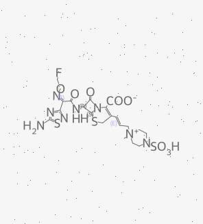 C[N+]1(C/C=C/C2=C(C(=O)[O-])N3C(=O)[C@@H](NC(=O)/C(=N\OCF)c4nsc(N)n4)[C@@H]3SC2)CCN(S(=O)(=O)O)CC1